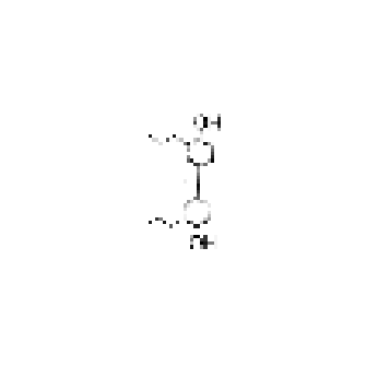 CCCc1cc(C(C)(C)c2ccc(O)c(CCC)c2)ccc1O